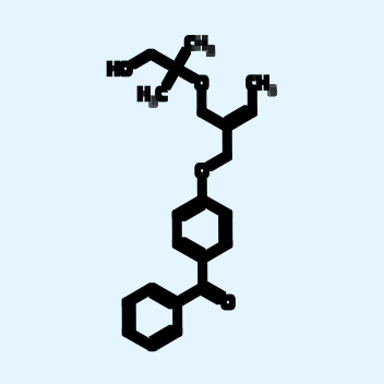 C/C=C(/COc1ccc(C(=O)c2ccccc2)cc1)COC(C)(C)CO